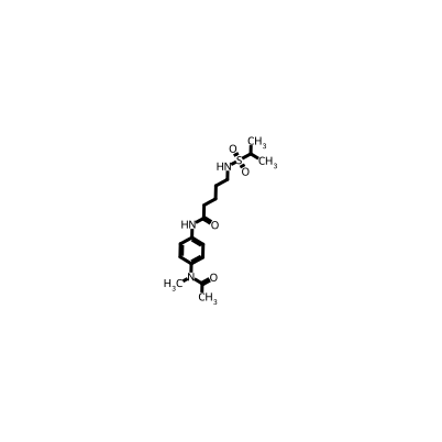 CC(=O)N(C)c1ccc(NC(=O)CCCCNS(=O)(=O)C(C)C)cc1